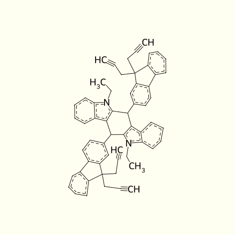 C#CCC1(CC#C)c2ccccc2-c2ccc(C3c4c(n(CC)c5ccccc45)C(c4ccc5c(c4)C(CC#C)(CC#C)c4ccccc4-5)c4c3n(CC)c3ccccc43)cc21